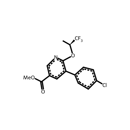 COC(=O)c1cnc(O[C@@H](C)C(F)(F)F)c(-c2ccc(Cl)cc2)c1